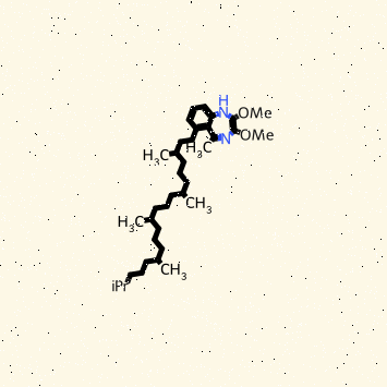 COC1=C(OC)Nc2cccc(CCC(C)CCCC(C)CCCC(C)CCCC(C)CCCC(C)C)c2C(C)=N1